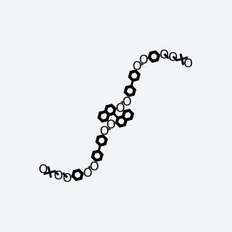 CC1(COCOc2ccc(OCOc3ccc(-c4ccc(OCOc5ccc6ccccc6c5-c5c(OCOc6ccc(-c7ccc(OCOc8ccc(OCOCC9(C)COC9)cc8)cc7)cc6)ccc6ccccc56)cc4)cc3)cc2)COC1